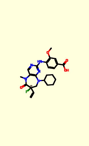 C=C[C@@]1(F)CN(C2CCCCC2)c2nc(Nc3ccc(C(=O)O)cc3OC)ncc2N(C)C1=O